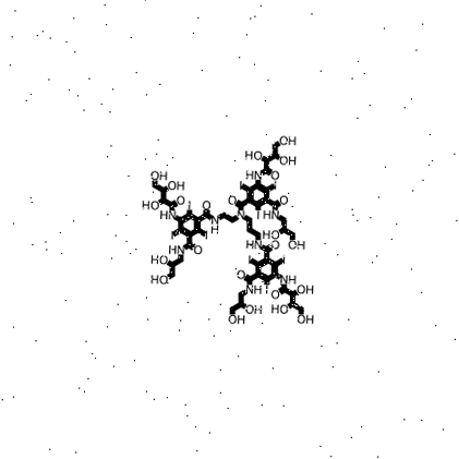 O=C(NCCCN(CCNC(=O)c1c(I)c(NC(=O)C(O)C(O)CO)c(I)c(C(=O)NCC(O)CO)c1I)C(=O)c1c(I)c(NC(=O)C(O)C(O)CO)c(I)c(C(=O)NCC(O)CO)c1I)c1c(I)c(NC(=O)C(O)C(O)CO)c(I)c(C(=O)NCC(O)CO)c1I